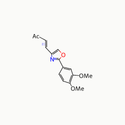 COc1ccc(-c2nc(/C=C/C(C)=O)co2)cc1OC